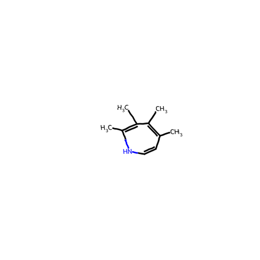 CC1=C(C)C(C)=C(C)NC=C1